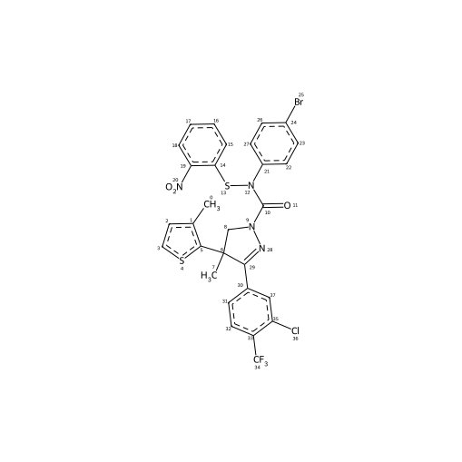 Cc1ccsc1C1(C)CN(C(=O)N(Sc2ccccc2[N+](=O)[O-])c2ccc(Br)cc2)N=C1c1ccc(C(F)(F)F)c(Cl)c1